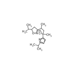 CC(CC(C)(C)c1ccn(C(C)C)n1)C1=NOC(C(C)C)C1